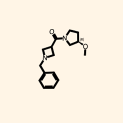 CO[C@@H]1CCN(C(=O)C2CN(Cc3ccccc3)C2)C1